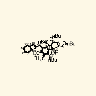 CCCCOC[C@@H]1C[C@H](OCCCC)[C@@H](OCCCC)C(O)(c2cc(Cc3cc4ccccc4s3)c(C)c(C)c2OCCCC)O1